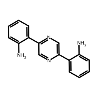 Nc1ccccc1-c1cnc(-c2ccccc2N)cn1